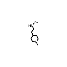 CC(C)NCCC1CCN(C)CC1